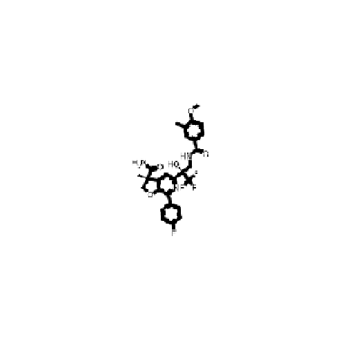 COc1ccc(C(=O)NC[C@](O)(c2cc3c(c(-c4ccc(F)cc4)n2)OC[C@]3(C)C(N)=O)C(F)(F)F)cc1C